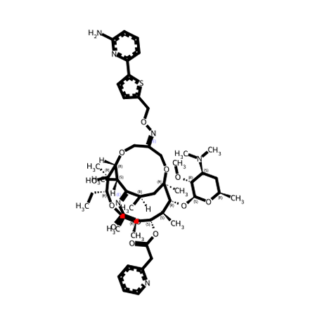 CC[C@H]1OC(=O)[C@H](C)[C@@H](OC(=O)Cc2ccccn2)[C@H](C)[C@@H](O[C@@H]2O[C@H](C)C[C@H](N(C)C)[C@H]2OC)[C@@]2(C)C[C@@H](C)/C(=N\C(C)=O)[C@H](C)[C@@H](OC/C(=N\OCc3ccc(-c4cccc(N)n4)s3)CO2)[C@]1(C)O